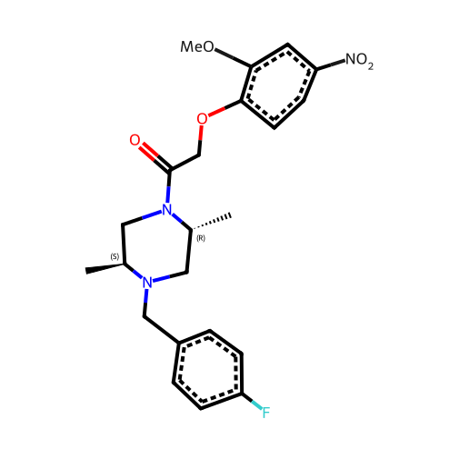 COc1cc([N+](=O)[O-])ccc1OCC(=O)N1C[C@H](C)N(Cc2ccc(F)cc2)C[C@H]1C